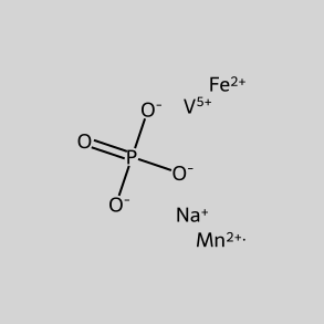 O=P([O-])([O-])[O-].[Fe+2].[Mn+2].[Na+].[V+5]